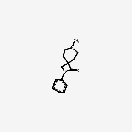 CN1CCC2(CC1)CN(c1ccccc1)C2=O